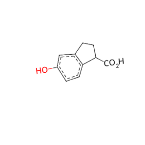 O=C(O)C1CCc2cc(O)ccc21